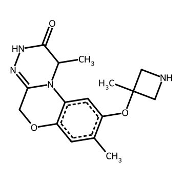 Cc1cc2c(cc1OC1(C)CNC1)N1C(=NNC(=O)C1C)CO2